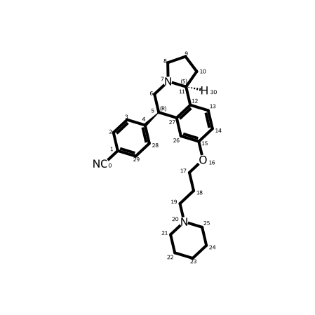 N#Cc1ccc([C@H]2CN3CCC[C@H]3c3ccc(OCCCN4CCCCC4)cc32)cc1